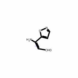 N/C(=C/C=O)c1ccno1